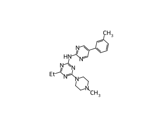 CCc1nc(Nc2ncc(-c3cccc(C)c3)cn2)nc(N2CCN(C)CC2)n1